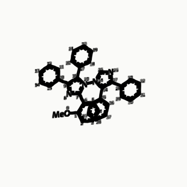 COc1ccccc1-c1nc(-c2ccccc2)c(-c2ccccc2)n1-n1cnc(-c2ccccc2)c1-c1ccccc1